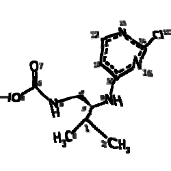 CC(C)[C@@H](CNC(=O)O)Nc1ccnc(Cl)n1